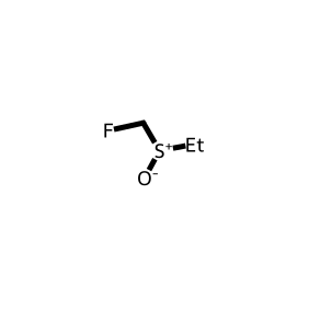 CC[S+]([O-])CF